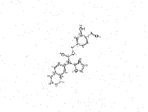 O=Cc1ccc(COC(=O)N(c2ccc3ccccc3c2)c2ncco2)cc1O